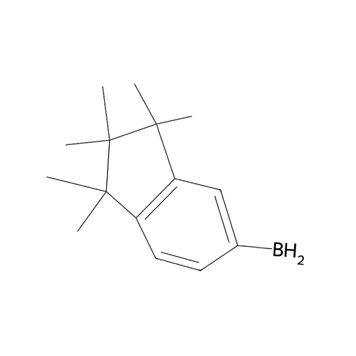 Bc1ccc2c(c1)C(C)(C)C(C)(C)C2(C)C